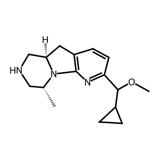 COC(c1ccc2c(n1)N1[C@@H](CNC[C@H]1C)C2)C1CC1